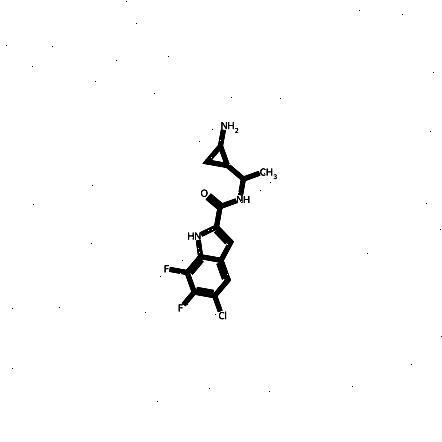 CC(NC(=O)c1cc2cc(Cl)c(F)c(F)c2[nH]1)C1CC1N